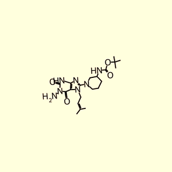 CC(C)=CCn1c(N2CCCC(NC(=O)OC(C)(C)C)C2)nc2[nH]c(=O)n(N)c(=O)c21